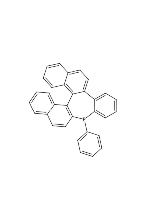 c1ccc(P2c3ccccc3-c3ccc4ccccc4c3-c3c2ccc2ccccc32)cc1